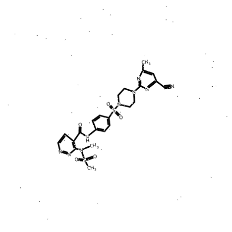 Cc1cc(C#N)nc(N2CCN(S(=O)(=O)c3ccc(NC(=O)c4ccnnc4N(C)S(C)(=O)=O)cc3)CC2)n1